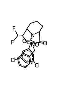 O=C1C2CCCC([C@@H](C(F)F)CN1Cc1ccccn1)N2S(=O)(=O)c1cc(Cl)cc(Cl)c1